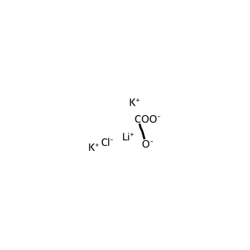 O=C([O-])[O-].[Cl-].[K+].[K+].[Li+]